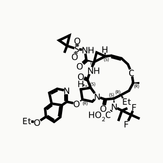 CCOc1ccc2c(O[C@@H]3C[C@H]4C(=O)N[C@]5(C(=O)NS(=O)(=O)C6(C)CC6)C[C@H]5C=CCC[C@@H](C)C[C@@H](CC)[C@H](N(C(=O)O)C(C)(C)C(C)(F)F)C(=O)N4C3)nccc2c1